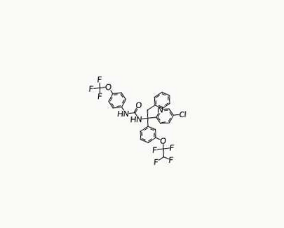 O=C(Nc1ccc(OC(F)(F)F)cc1)NC(Cc1ccccc1)(c1cccc(OC(F)(F)C(F)F)c1)c1ccc(Cl)cn1